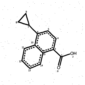 O=C(O)c1ccc(C2CC2)c2ccccc12